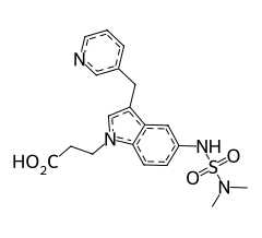 CN(C)S(=O)(=O)Nc1ccc2c(c1)c(Cc1cccnc1)cn2CCC(=O)O